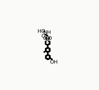 Cc1cc(C2=CCN(S(=O)(=O)CC(=O)NO)CC2)ccc1-c1cccc(CO)c1